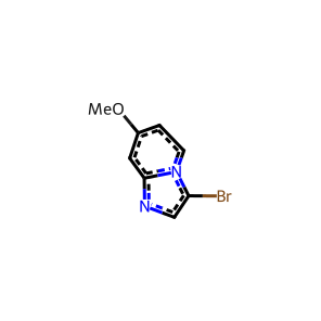 COc1ccn2c(Br)cnc2c1